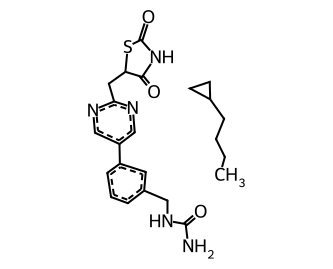 CCCCC1CC1.NC(=O)NCc1cccc(-c2cnc(CC3SC(=O)NC3=O)nc2)c1